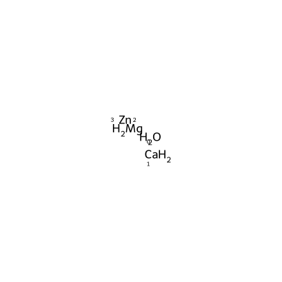 O.[CaH2].[MgH2].[Zn]